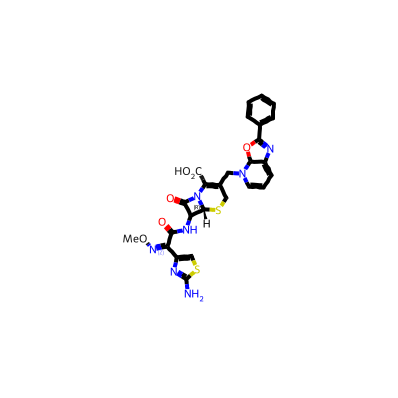 CO/N=C(\C(=O)NC1C(=O)N2C(C(=O)O)=C(CN3C=CC=C4N=C(c5ccccc5)OC43)CS[C@H]12)c1csc(N)n1